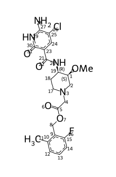 CO[C@H]1CN(CC(=O)OCc2c(C)cccc2F)CC[C@H]1NC(=O)c1cc(Cl)c(N)[nH]c1=O